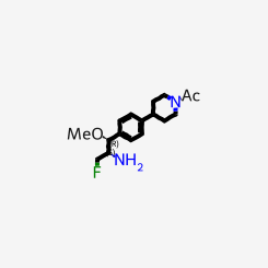 CO[C@H](c1ccc(C2CCN(C(C)=O)CC2)cc1)[C@H](N)CF